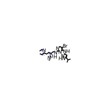 C=NO/C(=C\CC(=C/C)/N=C\C)CNc1ncc(Br)c(Nc2cc(C(C)C)[nH]n2)n1